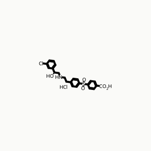 Cl.O=C(O)c1ccc(S(=O)(=O)c2ccc(CCNC[C@@H](O)c3cccc(Cl)c3)cc2)cc1